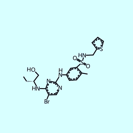 CC[C@H](CO)Nc1nc(Nc2ccc(C)c(S(=O)(=O)NCc3cccs3)c2)ncc1Br